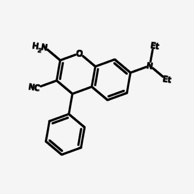 CCN(CC)c1ccc2c(c1)OC(N)=C(C#N)C2c1ccccc1